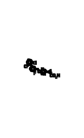 O=C(O)[C@@H]1C[C@H]1c1cnc(OCc2cc(-c3c(Cl)cccc3Cl)ccc2F)cn1